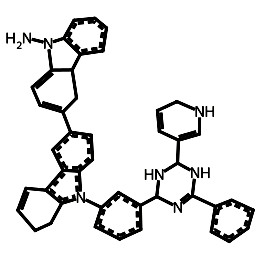 NN1C2=CC=C(c3ccc4c(c3)c3c(n4-c4cccc(C5N=C(c6ccccc6)NC(C6=CNCC=C6)N5)c4)CCC=C3)CC2c2ccccc21